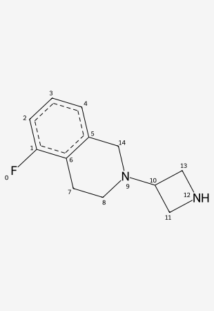 Fc1cccc2c1CCN(C1CNC1)C2